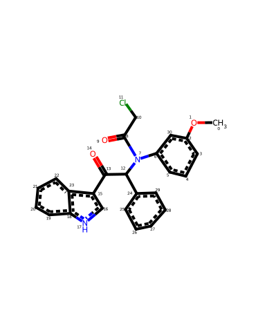 COc1cccc(N(C(=O)CCl)C(C(=O)c2c[nH]c3ccccc23)c2ccccc2)c1